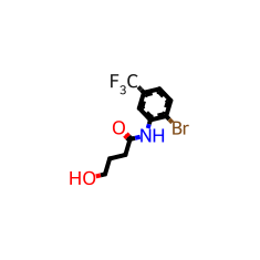 O=C(CCCO)Nc1cc(C(F)(F)F)ccc1Br